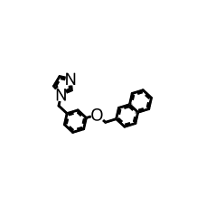 c1cc(Cn2ccnc2)cc(OCc2ccc3ccccc3c2)c1